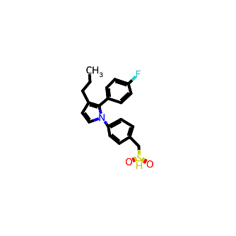 CCCc1ccn(-c2ccc(C[SH](=O)=O)cc2)c1-c1ccc(F)cc1